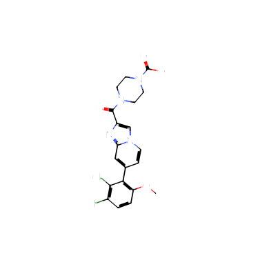 COc1ccc(Cl)c(Cl)c1-c1ccn2cc(C(=O)N3CCN(C(=O)O)CC3)nc2c1